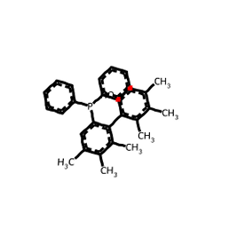 Cc1cc(O)c(-c2c(P(c3ccccc3)c3ccccc3)cc(C)c(C)c2C)c(C)c1C